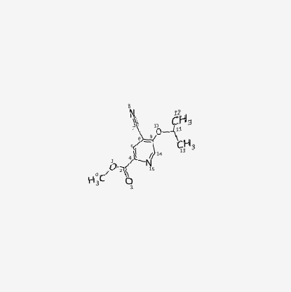 COC(=O)c1cc(C#N)c(OC(C)C)cn1